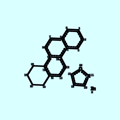 [Zn].c1ccc2c(c1)ccc1c3c(ccc12)CCCC3.c1cnoc1